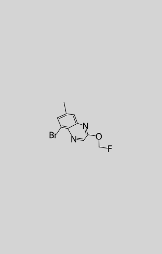 Cc1cc(Br)c2ncc(OCF)nc2c1